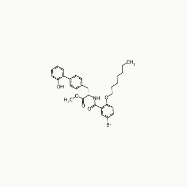 CCCCCCCOc1ccc(Br)cc1C(=O)N[C@@H](Cc1ccc(-c2ccccc2O)cc1)C(=O)OC